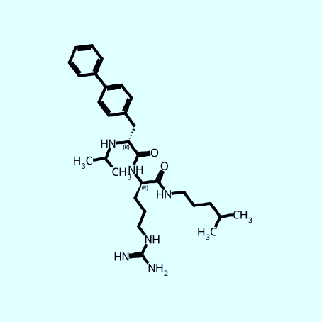 CC(C)CCCNC(=O)[C@@H](CCCNC(=N)N)NC(=O)[C@@H](Cc1ccc(-c2ccccc2)cc1)NC(C)C